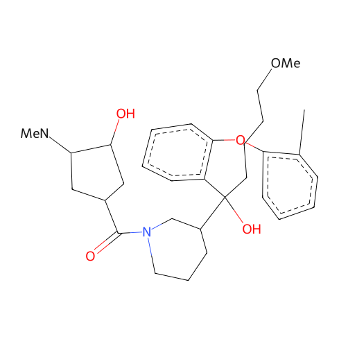 CNC1CC(C(=O)N2CCCC(C(O)(CCCCOC)c3ccccc3Oc3ccccc3C)C2)CC1O